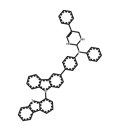 C1=C(c2ccccc2)CNC(N(c2ccccc2)c2ccc(-c3ccc4c(c3)c3ccccc3n4-c3cccc4c3sc3ccccc34)cc2)N1